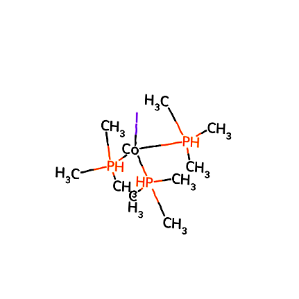 C[PH](C)(C)[Co]([I])([PH](C)(C)C)[PH](C)(C)C